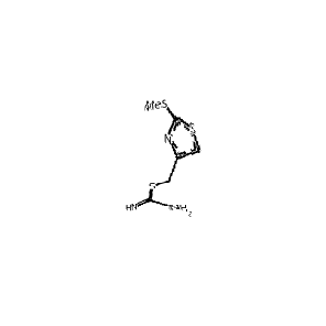 CSc1nc(CSC(=N)N)cs1